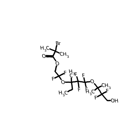 CCC(C)(OC(F)(F)COC(=O)C(C)(C)Br)C(F)(F)C(F)(F)OC(C)(C)C(F)(F)CO